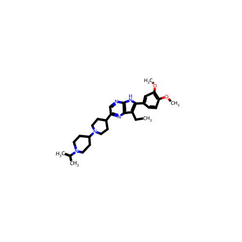 CCc1c(-c2ccc(OC)c(OC)c2)[nH]c2ncc(C3CCN(C4CCN(C(C)C)CC4)CC3)nc12